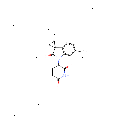 CC(C)c1ccc2c(c1)N(C1CCC(=O)NC1=O)C(=O)C21CC1